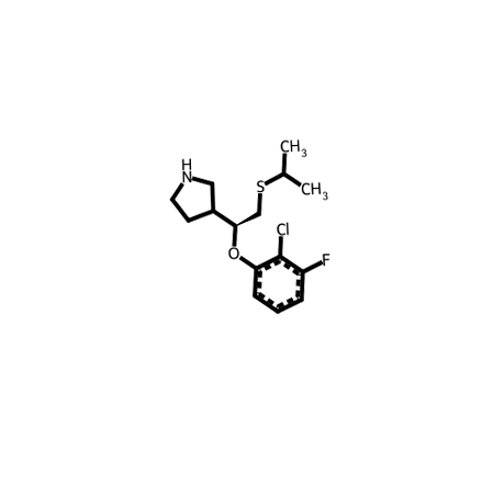 CC(C)SC[C@@H](Oc1cccc(F)c1Cl)C1CCNC1